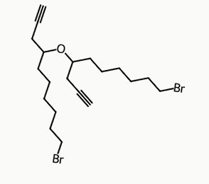 C#CCC(CCCCCCBr)OC(CC#C)CCCCCCBr